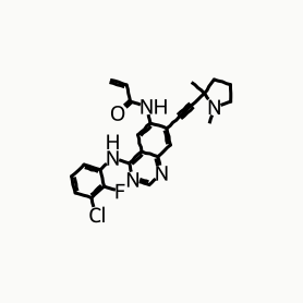 C=CC(=O)Nc1cc2c(Nc3cccc(Cl)c3F)ncnc2cc1C#CC1(C)CCCN1C